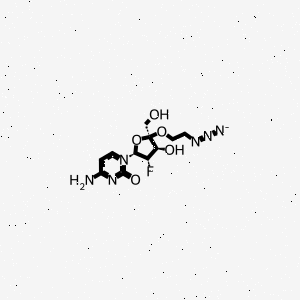 [N-]=[N+]=NCCO[C@]1(CO)O[C@@H](n2ccc(N)nc2=O)[C@@H](F)[C@@H]1O